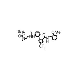 COc1ccccc1CNC(=O)c1cc(C(F)(F)F)nn1-c1cccc(C(C)NCCN(C)C(=O)OC(C)(C)C)c1